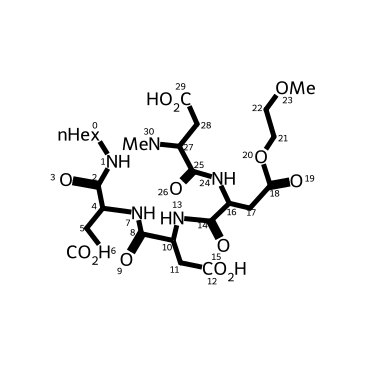 CCCCCCNC(=O)C(CC(=O)O)NC(=O)C(CC(=O)O)NC(=O)C(CC(=O)OCCOC)NC(=O)C(CC(=O)O)NC